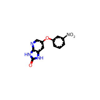 O=c1[nH]c2cc(Oc3cccc([N+](=O)[O-])c3)cnc2[nH]1